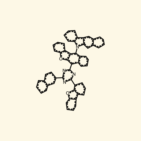 c1ccc2cc(-c3nc(-c4cccc5c4oc4ccccc45)nc(-c4c5ccccc5c(-n5c6ccccc6c6cc7ccccc7cc65)c5c4oc4ccccc45)n3)ccc2c1